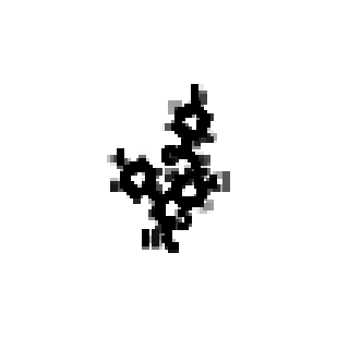 CNC(=O)C=C(c1ccccc1)c1ccc(Cl)[n+](CC(=O)c2ccc(F)cc2)c1.[I-]